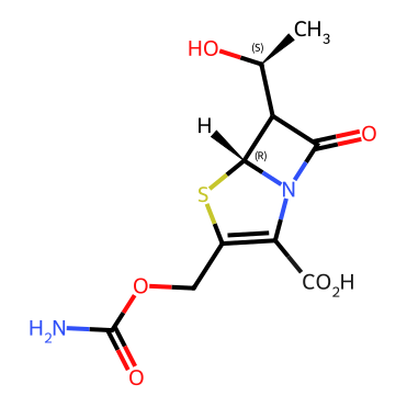 C[C@H](O)C1C(=O)N2C(C(=O)O)=C(COC(N)=O)S[C@H]12